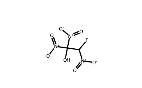 O=[N+]([O-])C(F)C(O)([N+](=O)[O-])[N+](=O)[O-]